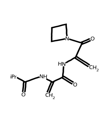 C=C(NC(=O)C(C)C)C(=O)NC(=C)C(=O)N1CCC1